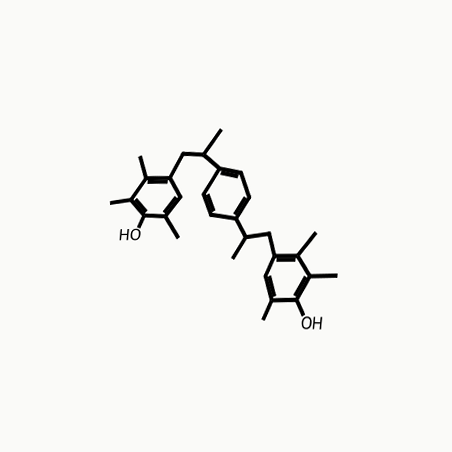 Cc1cc(CC(C)c2ccc(C(C)Cc3cc(C)c(O)c(C)c3C)cc2)c(C)c(C)c1O